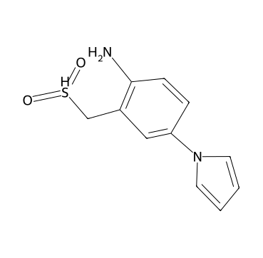 Nc1ccc(-n2cccc2)cc1C[SH](=O)=O